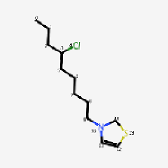 CCCC(Cl)CCCCCN1C=CSC1